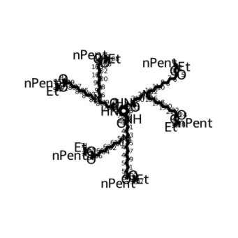 CCCCCC(CC)OC(=O)CCCCCCCCN(CCCCCCCCC(=O)OC(CC)CCCCC)CCCC(=O)Nc1cc(NC(=O)CCCN(CCCCCCCCC(=O)OC(CC)CCCCC)CCCCCCCCC(=O)OC(CC)CCCCC)cc(NC(=O)CCCN(CCCCCCCCC(=O)OC(CC)CCCCC)CCCCCCCCC(=O)OC(CC)CCCCC)c1